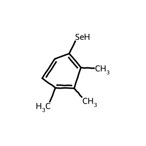 Cc1ccc([SeH])c(C)c1C